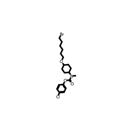 CN(C(=O)Oc1ccc(Cl)cc1)C1CCC(OCCCCCCBr)CC1